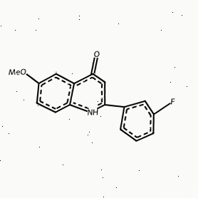 COc1[c]c2c(=O)cc(-c3cccc(F)c3)[nH]c2cc1